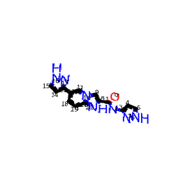 O=C(Nc1cc[nH]n1)c1cn2cc(-c3cc[nH]n3)ccc2n1